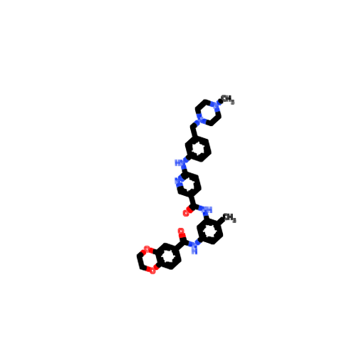 Cc1ccc(NC(=O)c2ccc3c(c2)OCCO3)cc1NC(=O)c1ccc(Nc2cccc(CN3CCN(C)CC3)c2)nc1